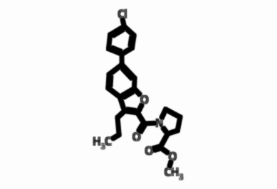 CCCc1c(C(=O)N2CCCC2C(=O)OC)oc2cc(-c3ccc(Cl)cc3)ccc12